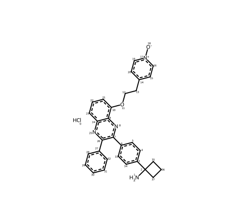 Cl.NC1(c2ccc(-c3nc4c(OCCc5cc[n+]([O-])cc5)cccc4nc3-c3ccccc3)cc2)CCC1